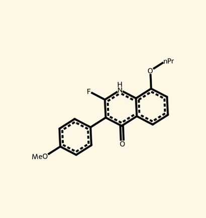 CCCOc1cccc2c(=O)c(-c3ccc(OC)cc3)c(F)[nH]c12